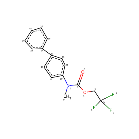 CN(C(=O)OCC(F)(F)F)c1ccc(-c2ccccc2)cc1